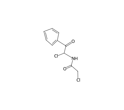 O=C(CCl)NC(Cl)C(=O)c1ccccc1